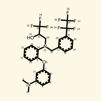 CN(C)c1cccc(Oc2ccccc2N(Cc2cccc(C(F)(F)C(F)(F)F)c2)CC(O)C(F)(F)F)c1